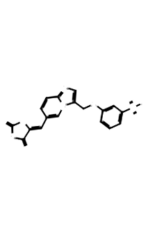 CS(=O)(=O)c1cccc(NCc2cnc3ccc(/C=C4\SC(=O)NC4=O)cn23)c1